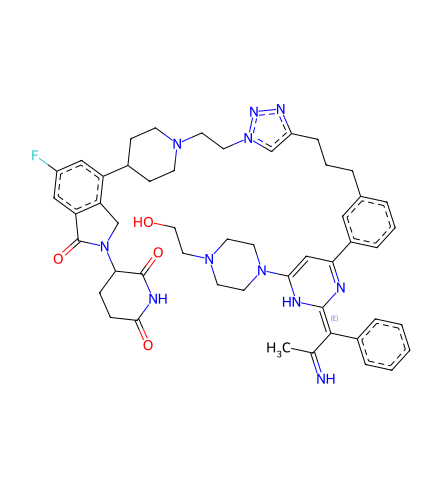 CC(=N)/C(=C1/N=C(c2cccc(CCCc3cn(CCN4CCC(c5cc(F)cc6c5CN(C5CCC(=O)NC5=O)C6=O)CC4)nn3)c2)C=C(N2CCN(CCO)CC2)N1)c1ccccc1